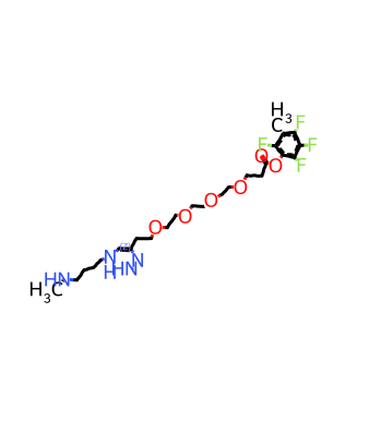 CNCCCCN/C=C(/CCOCCOCCOCCOCCC(=O)Oc1c(F)c(C)c(F)c(F)c1F)N=N